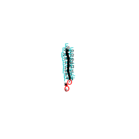 O=[C]OC(F)(F)C(F)(F)C(F)(F)C(F)(F)C(F)(F)C(F)(F)C(F)(F)C(F)(F)F